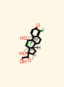 C[C@H]1C[C@H]2[C@@H]3CCC4=C(F)C(=O)C=C[C@]4(C)[C@@]3(Cl)[C@@H](O)C[C@]2(C)[C@@]1(O)C(=O)CO